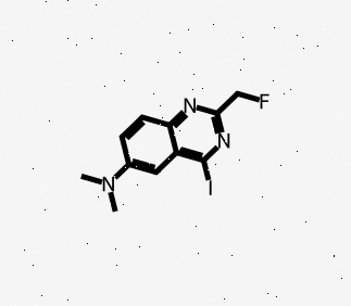 CN(C)c1ccc2nc(CF)nc(I)c2c1